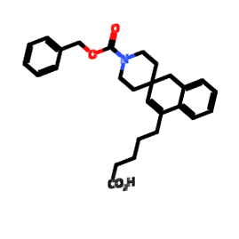 O=C(O)CCCCC1=CC2(CCN(C(=O)OCc3ccccc3)CC2)Cc2ccccc21